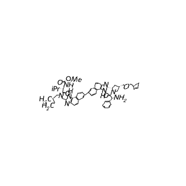 C=C[C@H](C)CN(Cc1nc2ccc3cc(-c4ccc5c(ccc6nc([C@@H]7C[C@H](COCC8C=CC8)CN7C(=O)[C@H](N)c7ccccc7)[nH]c65)c4)ccc3c2[nH]1)C(=O)[C@@H](NC(=O)OC)C(C)C